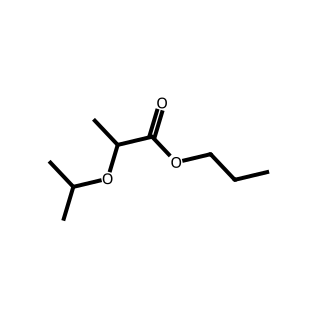 CCCOC(=O)C(C)OC(C)C